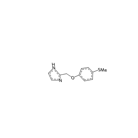 CSc1ccc(OCc2ncc[nH]2)cc1